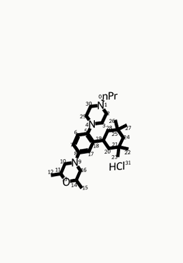 CCCN1CCN(c2ccc(N3CC(C)OC(C)C3)cc2C2CC(C)(C)CC(C)(C)C2)CC1.Cl